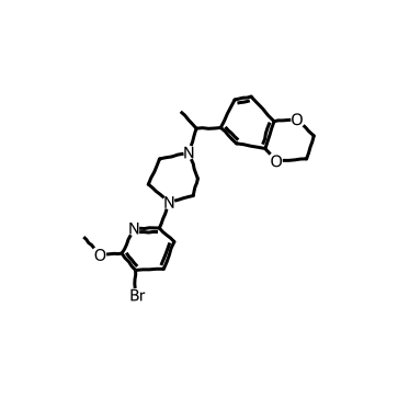 COc1nc(N2CCN(C(C)c3ccc4c(c3)OCCO4)CC2)ccc1Br